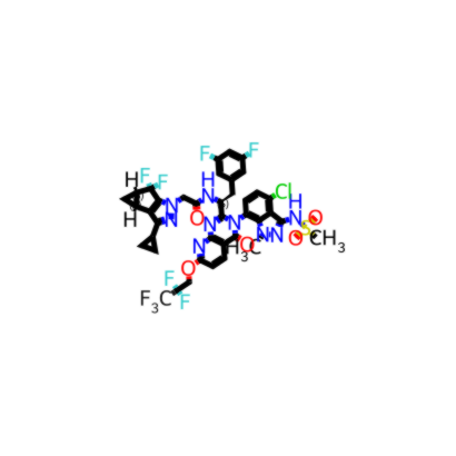 Cn1nc(NS(C)(=O)=O)c2c(Cl)ccc(-n3c([C@H](Cc4cc(F)cc(F)c4)NC(=O)Cn4nc(C5CC5)c5c4C(F)(F)[C@H]4C[C@@H]54)nc4nc(OCC(F)(F)C(F)(F)F)ccc4c3=O)c21